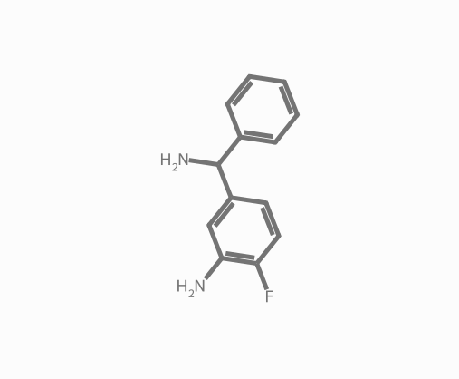 Nc1cc(C(N)c2ccccc2)ccc1F